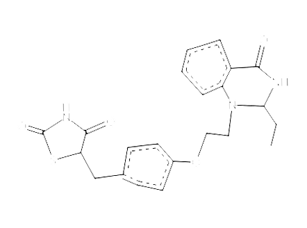 CCC1NC(=O)c2ccccc2N1CCOc1ccc(CC2SC(=O)NC2=O)cc1